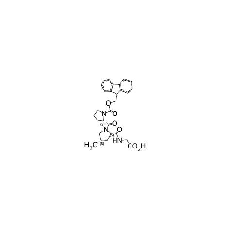 C[C@H]1C[C@@H](C(=O)NCC(=O)O)N(C(=O)[C@@H]2CCCN2C(=O)OCC2c3ccccc3-c3ccccc32)C1